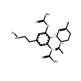 C=C(C)[C@@H]1CCC(C)=C[C@H]1c1c(OC(=O)C(C)(C)C)cc(CCNCC)cc1OC(=O)C(C)(C)C